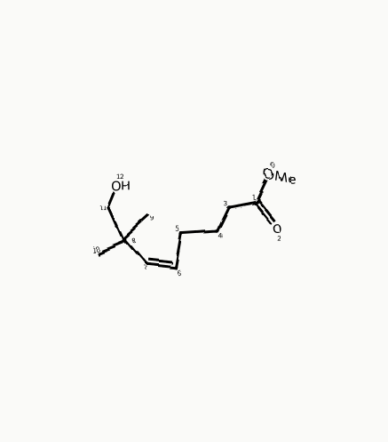 COC(=O)CCC/C=C\C(C)(C)CO